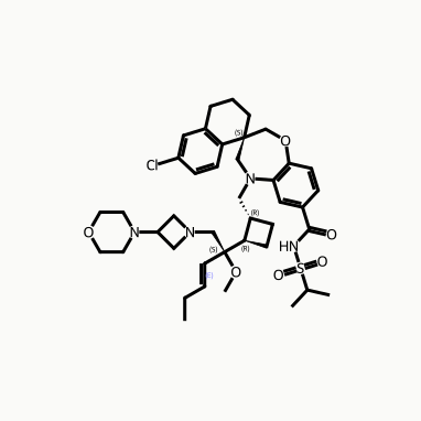 CC/C=C/[C@@](CN1CC(N2CCOCC2)C1)(OC)[C@@H]1CC[C@H]1CN1C[C@@]2(CCCc3cc(Cl)ccc32)COc2ccc(C(=O)NS(=O)(=O)C(C)C)cc21